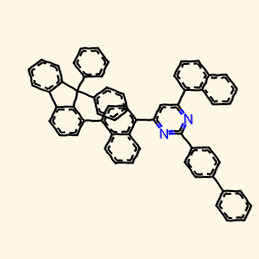 c1ccc(-c2ccc(-c3nc(-c4cccc5ccccc45)cc(-c4ccc(-c5cccc6c5C(c5ccccc5)(c5ccccc5)c5ccccc5-6)c5ccccc45)n3)cc2)cc1